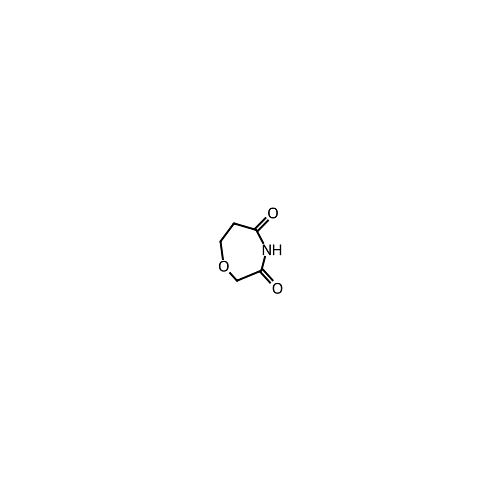 O=C1CCOCC(=O)N1